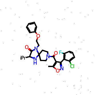 Cc1onc(-c2c(F)cccc2Cl)c1C(=O)N1CCC2(CC1)NC(C(C)C)C(=O)N2CCOc1ccccc1